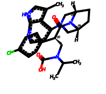 Cc1c[nH]c2nccc(N3C[C@H]4CC[C@@H](C3)N4C(=O)[C@H](CN(C(=O)O)C(C)C)c3ccc(Cl)cc3)c12